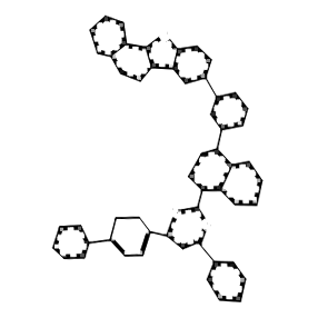 C1=C(c2ccccc2)CCC(c2cc(-c3ccccc3)nc(-c3ccc(-c4cccc(-c5ccc6oc7c8ccccc8ccc7c6c5)c4)c4ccccc34)n2)=C1